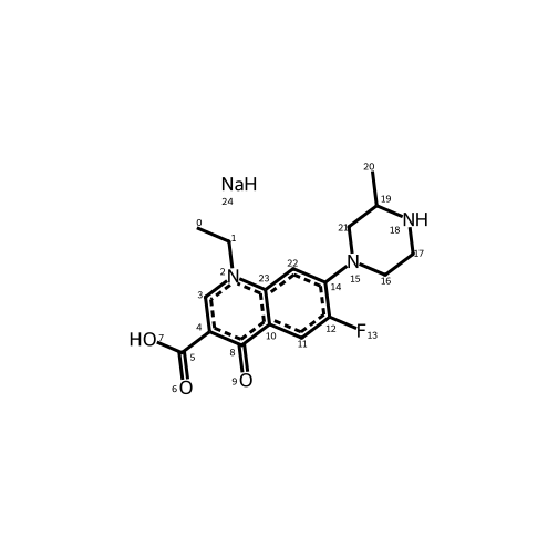 CCn1cc(C(=O)O)c(=O)c2cc(F)c(N3CCNC(C)C3)cc21.[NaH]